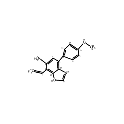 C=Cc1c(N)cc(-c2ccc(OC(F)(F)F)cc2)c2ncoc12